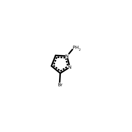 Pn1ccc(Br)n1